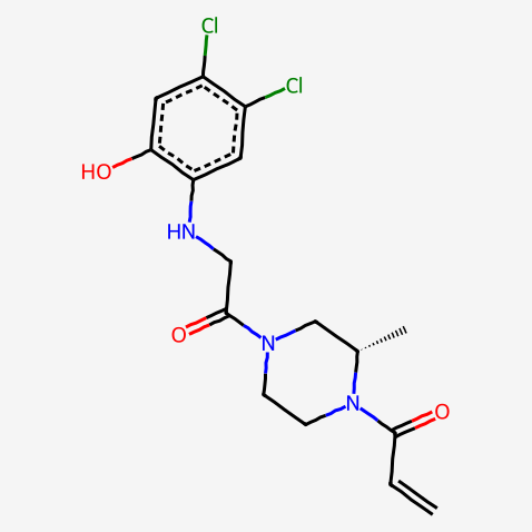 C=CC(=O)N1CCN(C(=O)CNc2cc(Cl)c(Cl)cc2O)C[C@@H]1C